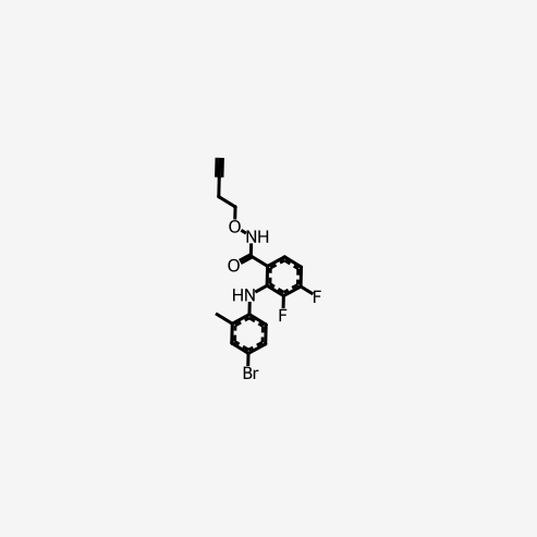 C#CCCONC(=O)c1ccc(F)c(F)c1Nc1ccc(Br)cc1C